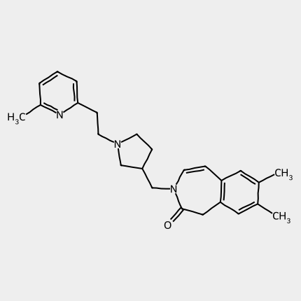 Cc1cccc(CCN2CCC(CN3C=Cc4cc(C)c(C)cc4CC3=O)C2)n1